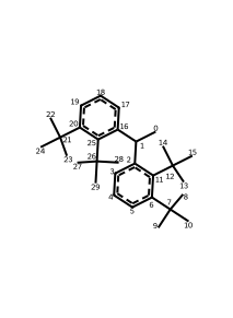 CC(c1cccc(C(C)(C)C)c1C(C)(C)C)c1cccc(C(C)(C)C)c1C(C)(C)C